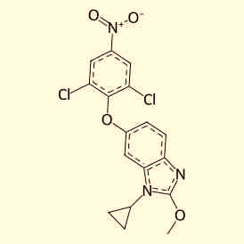 COc1nc2ccc(Oc3c(Cl)cc([N+](=O)[O-])cc3Cl)cc2n1C1CC1